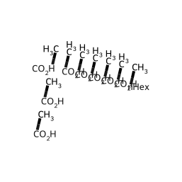 CC(=O)O.CC(=O)O.CC(=O)O.CC(=O)O.CC(=O)O.CC(=O)O.CC(=O)O.CC(=O)O.CCCCCCC